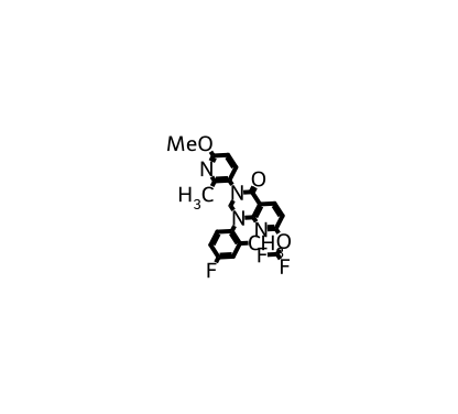 COc1ccc(N2CN(c3ccc(F)cc3C)c3nc(OC(F)F)ccc3C2=O)c(C)n1